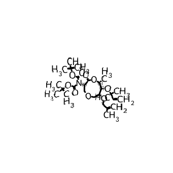 C=CC(C)(C)O[C@H]1[C@H](C)OC(=O)[C@@H](N(C(=O)OC(C)(C)C)C(=O)OC(C)(C)C)COC[C@@H]1OCC(=C)C